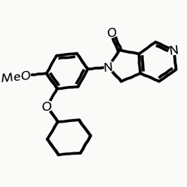 COc1ccc(N2Cc3ccncc3C2=O)cc1OC1CCCCC1